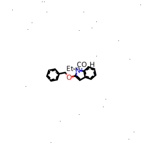 CC[N@@+]1(C(=O)O)C(OCc2ccccc2)=Cc2ccccc21